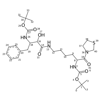 CC(C)(C)OC(=O)NC(CCCCNC(=O)C(O)C(Cc1ccccc1)NC(=O)OC(C)(C)C)C(=O)N1CCSC1